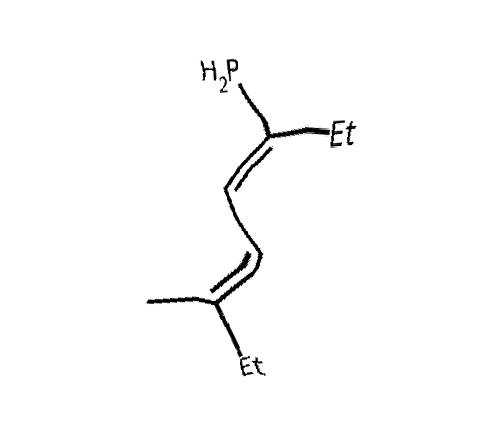 CC/C(C)=C/C=C(/P)CC